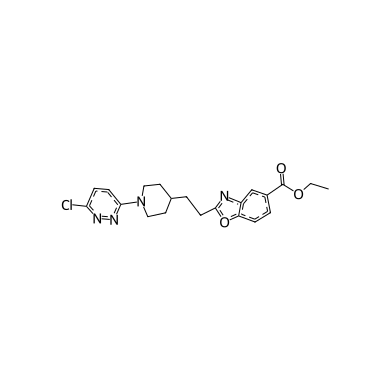 CCOC(=O)c1ccc2oc(CCC3CCN(c4ccc(Cl)nn4)CC3)nc2c1